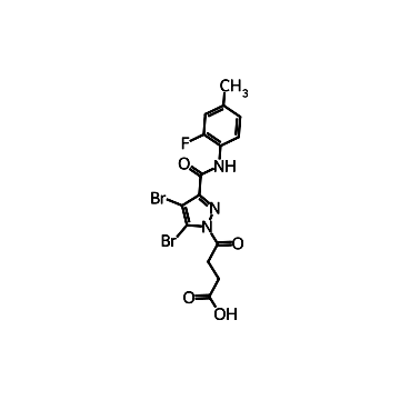 Cc1ccc(NC(=O)c2nn(C(=O)CCC(=O)O)c(Br)c2Br)c(F)c1